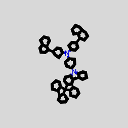 c1ccc(C2(c3ccc4c(c3)c3ccccc3n4-c3ccc(N(c4ccc(-c5cccc6ccccc56)cc4)c4ccc(-c5cccc6ccccc56)cc4)cc3)c3ccccc3-c3ccccc32)cc1